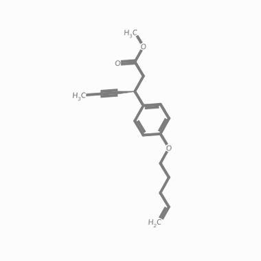 C=CCCCOc1ccc([C@@H](C#CC)CC(=O)OC)cc1